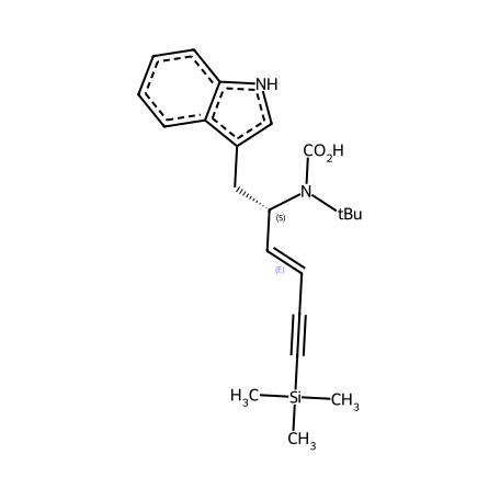 CC(C)(C)N(C(=O)O)[C@H](/C=C/C#C[Si](C)(C)C)Cc1c[nH]c2ccccc12